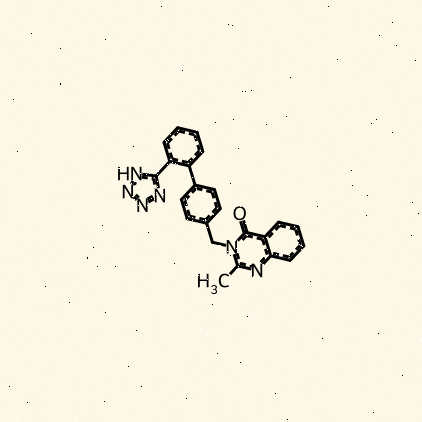 Cc1nc2ccccc2c(=O)n1Cc1ccc(-c2ccccc2-c2nnn[nH]2)cc1